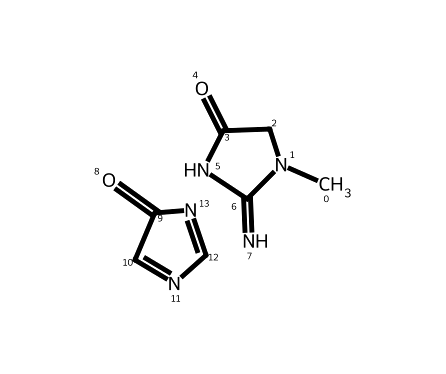 CN1CC(=O)NC1=N.O=C1C=NC=N1